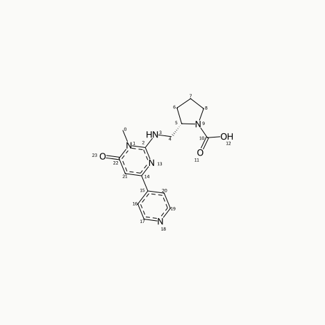 Cn1c(NC[C@@H]2CCCN2C(=O)O)nc(-c2ccncc2)cc1=O